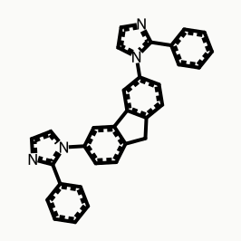 c1ccc(-c2nccn2-c2ccc3c(c2)-c2cc(-n4ccnc4-c4ccccc4)ccc2C3)cc1